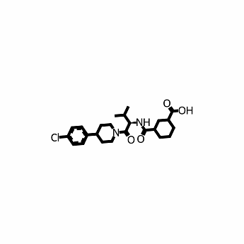 CC(C)[C@@H](NC(=O)C1CCCC(C(=O)O)C1)C(=O)N1CCC(c2ccc(Cl)cc2)CC1